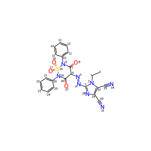 CCn1c(N=NC2C(=O)N(c3ccccc3)S(=O)(=O)N(c3ccccc3)C2=O)nc(C#N)c1C#N